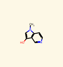 Cn1cc(O)c2cnccc21